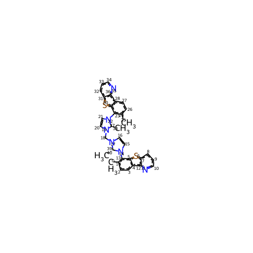 Cc1ccc2c(sc3cccnc32)c1N1C=CN(CN2C=CN(c3c(C)ccc4c3sc3cccnc34)[C@H]2C)[C@H]1C